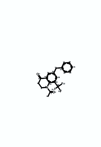 CC(=O)N1CCC(=O)c2cc(Cc3ccccc3)cc(C(F)(F)F)c21